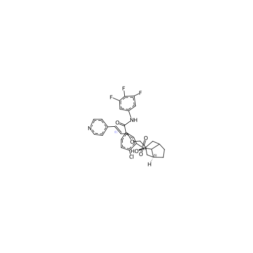 O=C(Nc1cc(F)c(F)c(F)c1)c1ccc(Cl)c(S(=O)(=O)C2C3CC[C@H]2C[C@](O)(COC/C=C/c2ccncc2)C3)c1